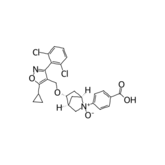 O=C(O)c1ccc([N+]2([O-])C[C@@H]3C[C@H]2C[C@H]3OCc2c(-c3c(Cl)cccc3Cl)noc2C2CC2)cc1